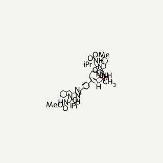 COC(=O)N[C@H](C(=O)N1C2CCCCC2C[C@H]1c1nc(C2=CC3=C(c4ccc(-c5c[nH]c([C@@H]6CC7CCCCC7N6C(=O)[C@@H](NC(=O)OC)C(C)C)n5)cc4)C[C@@H]2C[C@@H](C)[C@@H]2C=CC(=CC2)CC3)c[nH]1)C(C)C